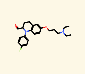 CCN(CC)CCCOc1ccc2c(c1)CCC(C=O)N2c1ccc(F)cc1